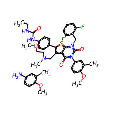 CCNC(=O)Nc1ccc(-c2sc3c(c2CN(C)CCOC)c(=O)n(-c2ccc(OC)c(C)c2)c(=O)n3Cc2c(F)cccc2F)cc1.COc1ccc(N)cc1C